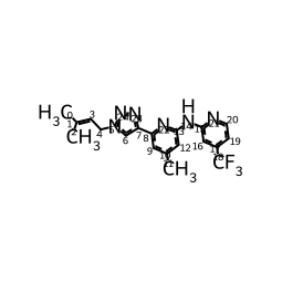 CC(C)=CCn1cc(-c2cc(C)cc(Nc3cc(C(F)(F)F)ccn3)n2)nn1